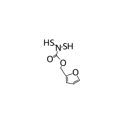 O=C(OCc1ccco1)N(S)S